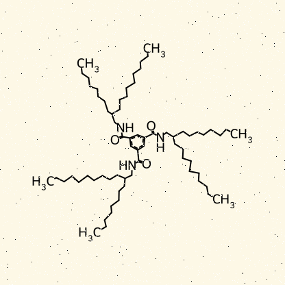 CCCCCCCCCCC(CCCCCCCC)CNC(=O)c1cc(C(=O)NCC(CCCCCCCC)CCCCCCCCCC)cc(C(=O)NCC(CCCCCCCC)CCCCCCCCCC)c1